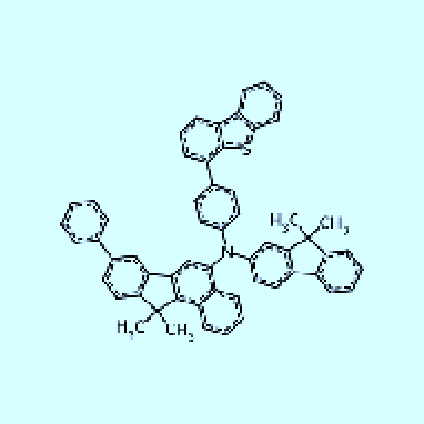 CC1(C)c2ccccc2-c2ccc(N(c3ccc(-c4cccc5c4sc4ccccc45)cc3)c3cc4c(c5ccccc35)C(C)(C)c3ccc(-c5ccccc5)cc3-4)cc21